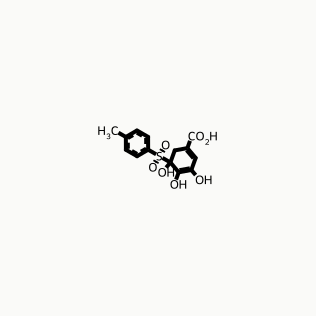 Cc1ccc(S(=O)(=O)C2(O)CC(C(=O)O)=CC(O)=C2O)cc1